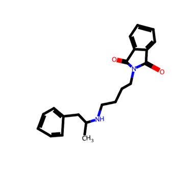 CC(Cc1ccccc1)NCCCCN1C(=O)c2ccccc2C1=O